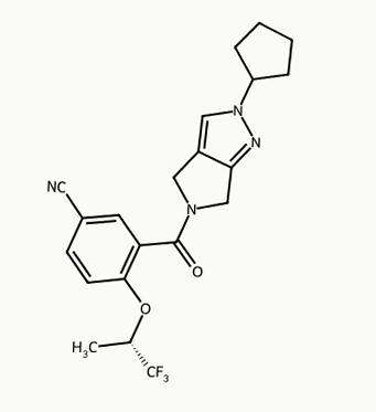 C[C@H](Oc1ccc(C#N)cc1C(=O)N1Cc2cn(C3CCCC3)nc2C1)C(F)(F)F